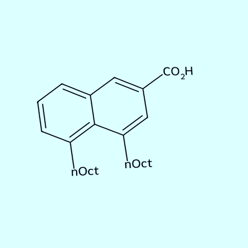 CCCCCCCCc1cccc2cc(C(=O)O)cc(CCCCCCCC)c12